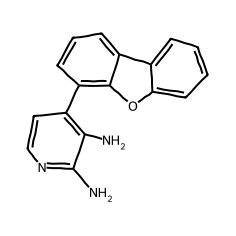 Nc1nccc(-c2cccc3c2oc2ccccc23)c1N